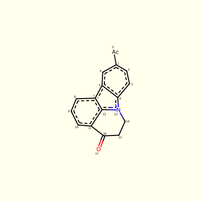 CC(=O)c1ccc2c(c1)c1cccc3c1n2CCC3=O